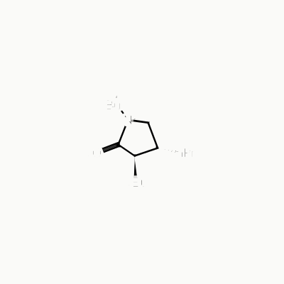 CCC[C@H]1CN(C(C)CC)C(=O)[C@@H]1CC